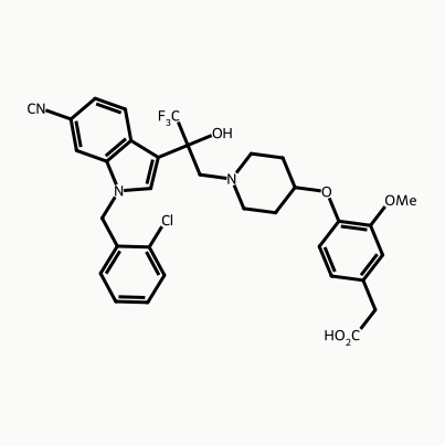 [C-]#[N+]c1ccc2c(C(O)(CN3CCC(Oc4ccc(CC(=O)O)cc4OC)CC3)C(F)(F)F)cn(Cc3ccccc3Cl)c2c1